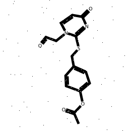 CC(=O)Oc1ccc(CSc2nc(=O)ccn2CC=O)cc1